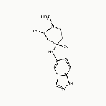 CC(C)(C)C1CC(C#N)(Nc2ccc3[nH]ncc3c2)CCN1C(=O)O